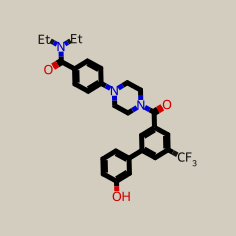 CCN(CC)C(=O)c1ccc(N2CCN(C(=O)c3cc(-c4cccc(O)c4)cc(C(F)(F)F)c3)CC2)cc1